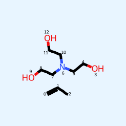 C=CC.OCCN(CCO)CCO